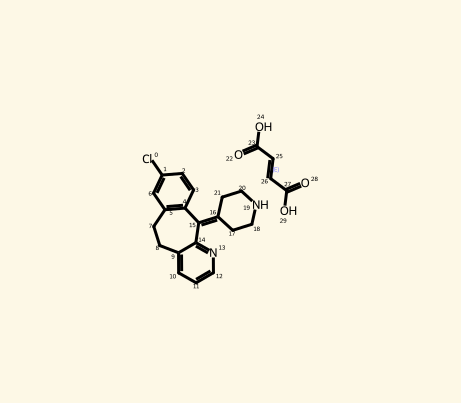 Clc1ccc2c(c1)CCc1cccnc1C2=C1CCNCC1.O=C(O)/C=C/C(=O)O